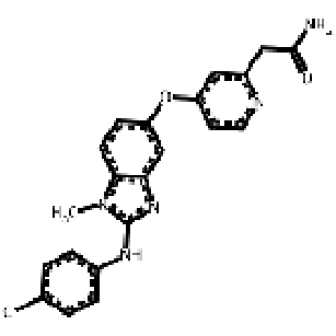 Cn1c(Nc2ccc(Cl)cc2)nc2cc(Oc3ccnc(CC(N)=O)c3)ccc21